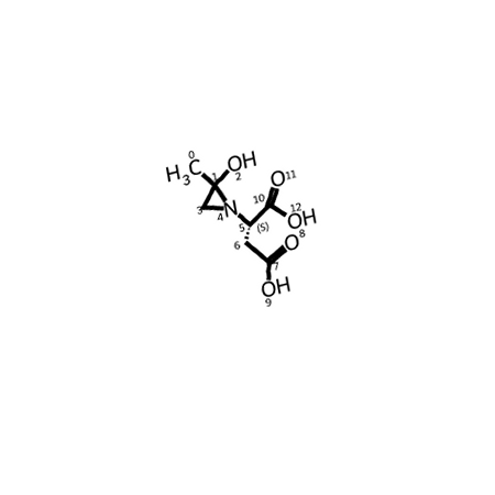 CC1(O)CN1[C@@H](CC(=O)O)C(=O)O